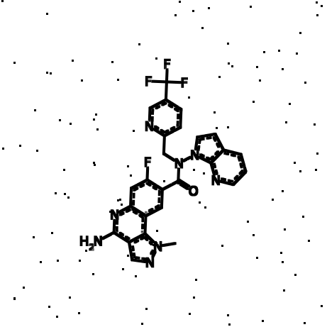 Cn1ncc2c(N)nc3cc(F)c(C(=O)N(Cc4ccc(C(F)(F)F)cn4)n4ccc5cccnc54)cc3c21